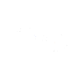 CCCC[P+](CCCC)(CCCC)CCCC.CN(C)CC(=O)[O-]